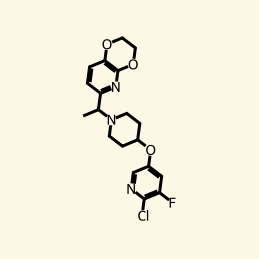 CC(c1ccc2c(n1)OCCO2)N1CCC(Oc2cnc(Cl)c(F)c2)CC1